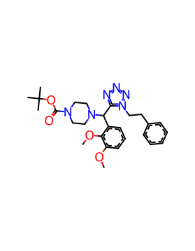 COc1cccc(C(c2nnnn2CCc2ccccc2)N2CCN(C(=O)OC(C)(C)C)CC2)c1OC